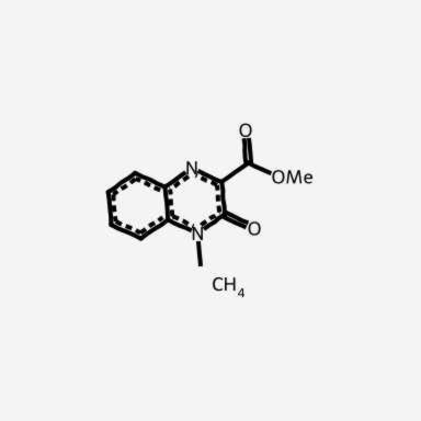 C.COC(=O)c1nc2ccccc2n(C)c1=O